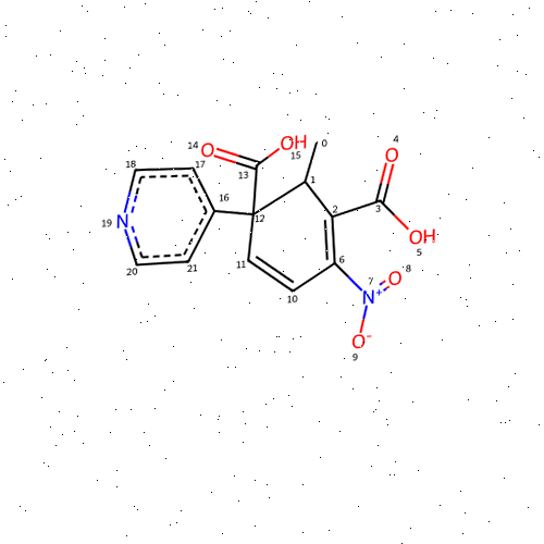 CC1C(C(=O)O)=C([N+](=O)[O-])C=CC1(C(=O)O)c1ccncc1